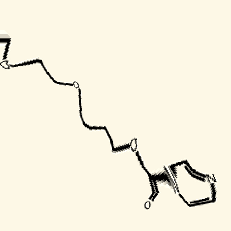 COCCOCCCOC(=O)n1ccnc1